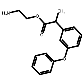 CC(C(=O)OCCN)c1cccc(Oc2ccccc2)c1